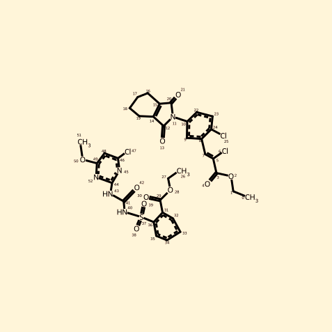 CCOC(=O)/C(Cl)=C/c1cc(N2C(=O)C3=C(CCCC3)C2=O)ccc1Cl.CCOC(=O)c1ccccc1S(=O)(=O)NC(=O)Nc1nc(Cl)cc(OC)n1